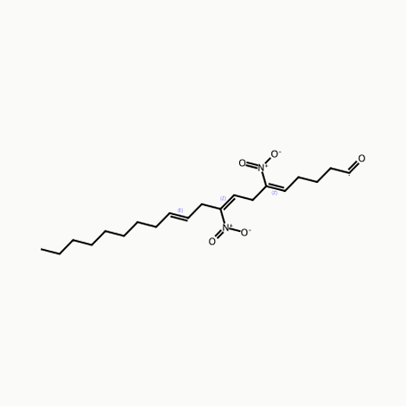 CCCCCCCC/C=C/C/C(=C/C/C(=C/CCC[C]=O)[N+](=O)[O-])[N+](=O)[O-]